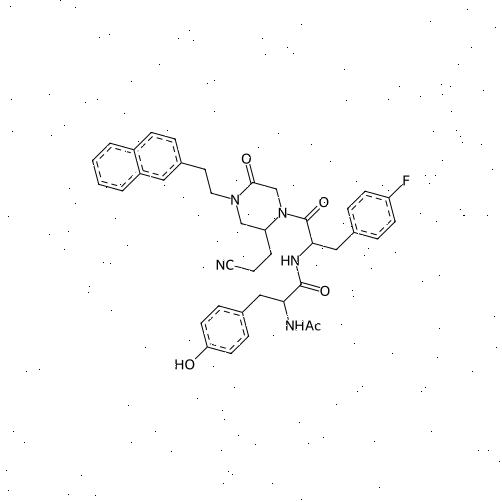 CC(=O)NC(Cc1ccc(O)cc1)C(=O)NC(Cc1ccc(F)cc1)C(=O)N1CC(=O)N(CCc2ccc3ccccc3c2)CC1CCC#N